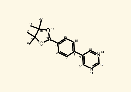 CC1(C)OB(c2ccc(-c3cncnc3)cc2)OC1(C)C